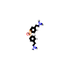 CN(C)CCc1ccc([PH](=O)c2ccc(CCN(C)C)cc2)cc1